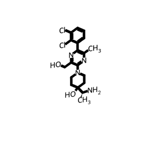 Cc1nc(N2CCC(O)([C@@H](C)N)CC2)c(CO)nc1-c1cccc(Cl)c1Cl